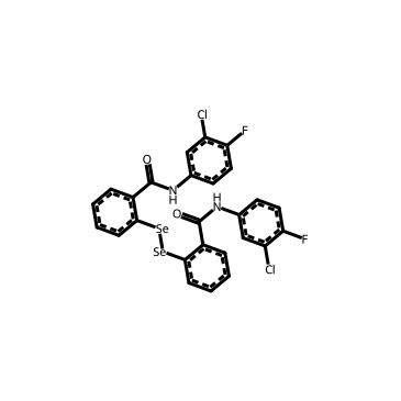 O=C(Nc1ccc(F)c(Cl)c1)c1ccccc1[Se][Se]c1ccccc1C(=O)Nc1ccc(F)c(Cl)c1